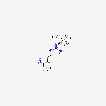 CCC(C)(C)C(=O)O.N=C(N)NCCCC(N)C(=O)O